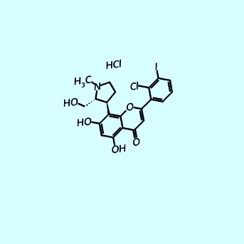 CN1CC[C@@H](c2c(O)cc(O)c3c(=O)cc(-c4cccc(I)c4Cl)oc23)[C@@H]1CO.Cl